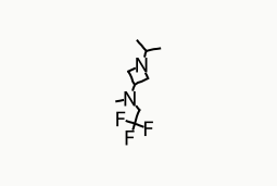 CC(C)N1CC(N(C)CC(F)(F)F)C1